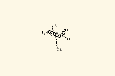 CCCCCCCCCCC(c1ccc(C(CCCCC)c2ccc(N)cc2C)cc1)c1ccc(C(CCCCC)c2ccc(N)cc2C)cc1